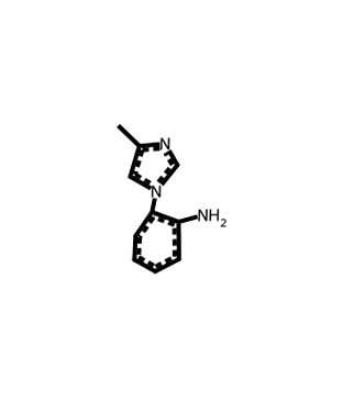 Cc1cn(-c2ccccc2N)cn1